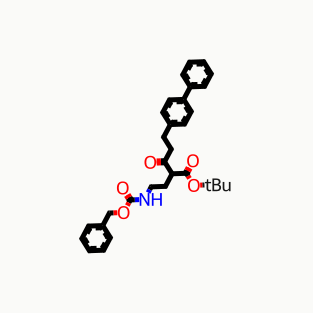 CC(C)(C)OC(=O)C(CCNC(=O)OCc1ccccc1)C(=O)CCc1ccc(-c2ccccc2)cc1